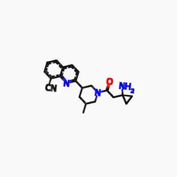 CC1CC(c2ccc3cccc(C#N)c3n2)CN(C(=O)CC2(N)CC2)C1